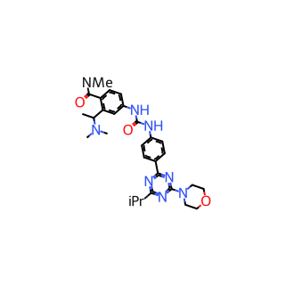 CNC(=O)c1ccc(NC(=O)Nc2ccc(-c3nc(C(C)C)nc(N4CCOCC4)n3)cc2)cc1C(C)N(C)C